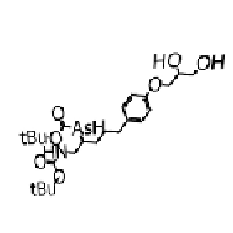 CC(C)(C)OC(=O)NCC(CCCc1ccc(OCC(O)CO)cc1)[AsH]C(=O)OC(C)(C)C